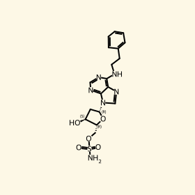 NS(=O)(=O)OC[C@H]1O[C@@H](n2cnc3c(NCCc4ccccc4)ncnc32)C[C@@H]1O